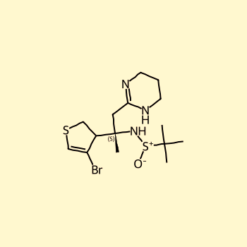 CC(C)(C)[S+]([O-])N[C@@](C)(CC1=NCCCN1)C1CSC=C1Br